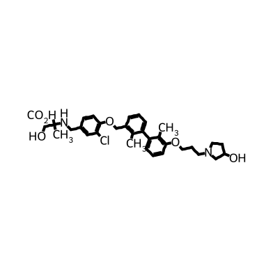 Cc1c(COc2ccc(CNC(C)(CO)C(=O)O)cc2Cl)cccc1-c1cccc(OCCCN2CCC(O)C2)c1C